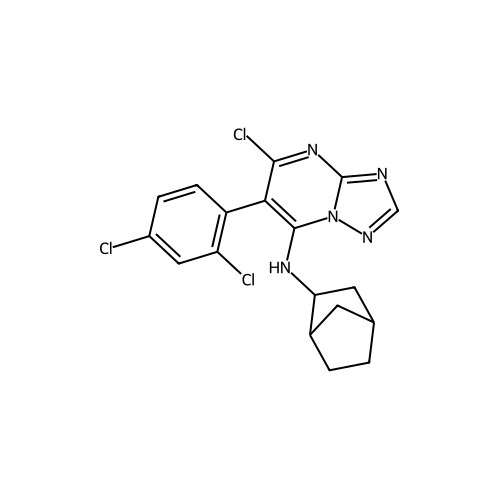 Clc1ccc(-c2c(Cl)nc3ncnn3c2NC2CC3CCC2C3)c(Cl)c1